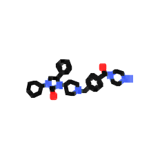 O=C(c1ccc(CN2CCC(N3C(=O)N(C4CCCCC4)CC3c3ccccc3)CC2)cc1)N1CCNCC1